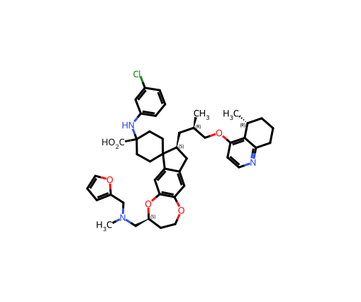 C[C@@H](COc1ccnc2c1[C@H](C)CCC2)C[C@H]1Cc2cc3c(cc2C12CCC(Nc1cccc(Cl)c1)(C(=O)O)CC2)O[C@H](CN(C)Cc1ccco1)CCO3